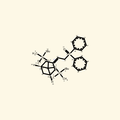 CC(C)(C)[Si](C)(C)OC1(O[Si](C)(C)C(C)(C)C)[C@@H]2C/C(=C\CP(=O)(c3ccccc3)c3ccccc3)C[C@H]1C2